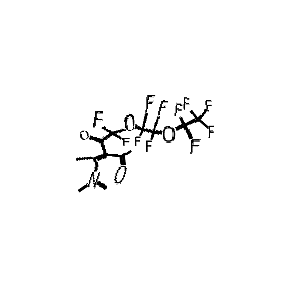 CC(=O)/C(C(=O)C(F)(F)OC(F)(F)C(F)(F)OC(F)(F)C(F)(F)F)=C(/C)N(C)C